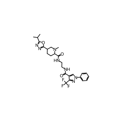 CC(C)c1nnc(C2CCC(C(=O)NCCNC(=O)c3cn(-c4ccccc4)nc3C(F)(F)F)N(C)C2)o1